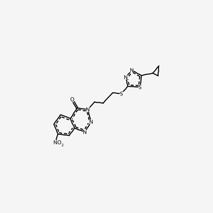 O=c1c2ccc([N+](=O)[O-])cc2nnn1CCCSc1nnc(C2CC2)s1